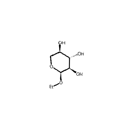 CCO[C@H]1OC[C@@H](O)[C@H](O)[C@H]1O